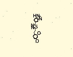 COc1ccc(CCc2nnc(-c3ccc4[nH]cnc4c3)s2)c(OC)c1